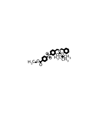 CCOC(=O)c1ccc(S(=O)(=O)c2ccc(CN(Cc3ccccc3)C(=O)OC(C)(C)C)cc2)cc1